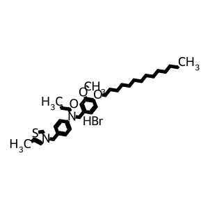 Br.CCCCCCCCCCCCCCOc1ccc(CN(C(=O)CC)c2ccc(CN3C=C(C)SC3)cc2)cc1OC